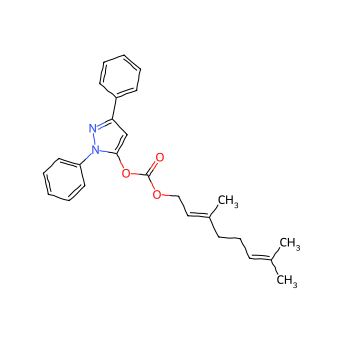 CC(C)=CCC/C(C)=C/COC(=O)Oc1cc(-c2ccccc2)nn1-c1ccccc1